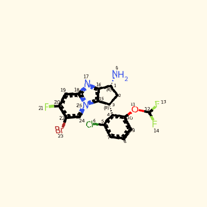 N[C@@H]1C[C@H](c2c(Cl)cccc2OC(F)F)c2c1nc1cc(F)c(Br)cn21